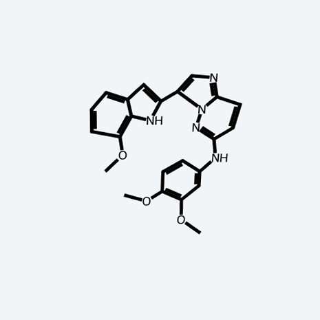 COc1ccc(Nc2ccc3ncc(-c4cc5cccc(OC)c5[nH]4)n3n2)cc1OC